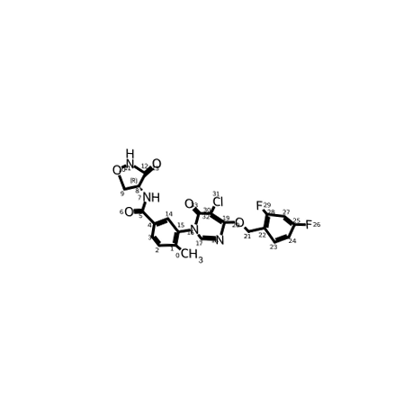 Cc1ccc(C(=O)N[C@@H]2CONC2=O)cc1-n1cnc(OCc2ccc(F)cc2F)c(Cl)c1=O